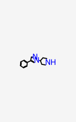 c1ccc(-c2cnn(C3CCNCC3)c2)cc1